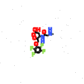 CNCC(=O)NC(CC(=O)O)C(=O)COc1c(F)c(F)cc(F)c1F